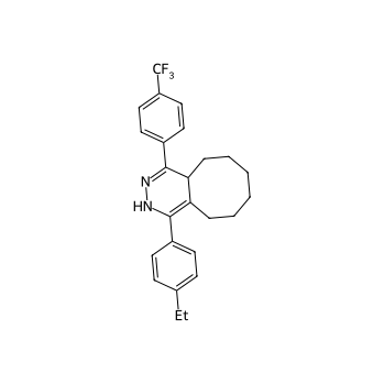 CCc1ccc(C2=C3CCCCCCC3C(c3ccc(C(F)(F)F)cc3)=NN2)cc1